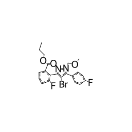 CCCOC(=O)c1cccc(F)c1-c1nn(COC)c(-c2ccc(F)cc2)c1Br